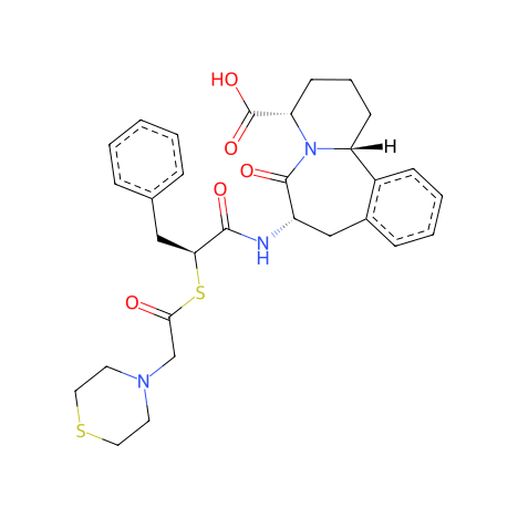 O=C(CN1CCSCC1)S[C@@H](Cc1ccccc1)C(=O)N[C@H]1Cc2ccccc2[C@H]2CCC[C@@H](C(=O)O)N2C1=O